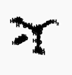 N=C1N[C@H]2[C@H](CS[C@H]2CCCCC(=O)NCCOCCNC(=O)c2cc(NC(=O)NCCOCCOCCN)cc(C(=O)NCCOCCNC(=O)CCCC[C@@H]3SC[C@@H]4NC(=N)N[C@@H]43)c2)N1.O=C(O)C(F)(F)F.O=C(O)C(F)(F)F.O=C(O)C(F)(F)F